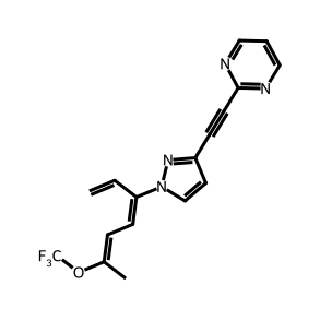 C=C/C(=C\C=C(/C)OC(F)(F)F)n1ccc(C#Cc2ncccn2)n1